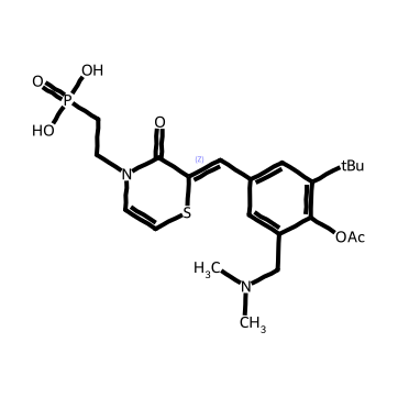 CC(=O)Oc1c(CN(C)C)cc(/C=C2\SC=CN(CCP(=O)(O)O)C2=O)cc1C(C)(C)C